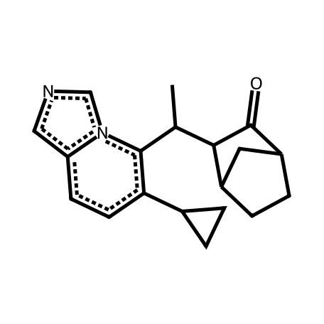 CC(c1c(C2CC2)ccc2cncn12)C1C(=O)C2CCC1C2